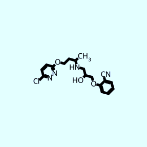 CC(CCOc1ccc(Cl)nn1)NCC(O)COc1ccccc1C#N